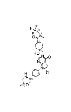 C[C@H]1CN[C@H](c2ccc(-n3c(Cl)cc4c(=O)n(CC5(O)CCN(C(=O)[C@@]6(C)C[C@@H]6C(F)(F)F)CC5)cnc43)cc2)CO1